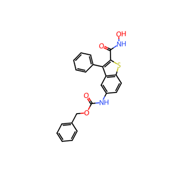 O=C(Nc1ccc2sc(C(=O)NO)c(-c3ccccc3)c2c1)OCc1ccccc1